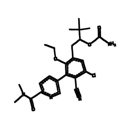 CCOc1c(CC(OC(N)=O)C(C)(C)C)cc(Cl)c(C#N)c1-c1ccc(C(=O)N(C)C)nc1